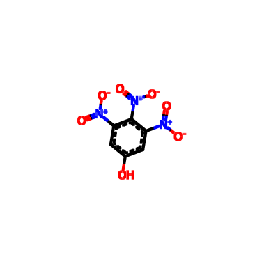 O=[N+]([O-])c1cc(O)cc([N+](=O)[O-])c1[N+](=O)[O-]